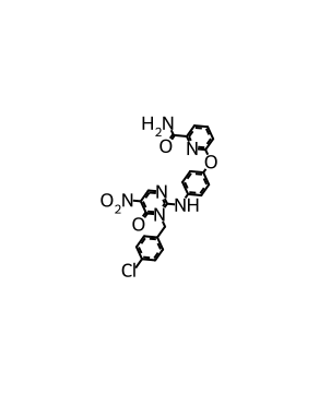 NC(=O)c1cccc(Oc2ccc(Nc3ncc([N+](=O)[O-])c(=O)n3Cc3ccc(Cl)cc3)cc2)n1